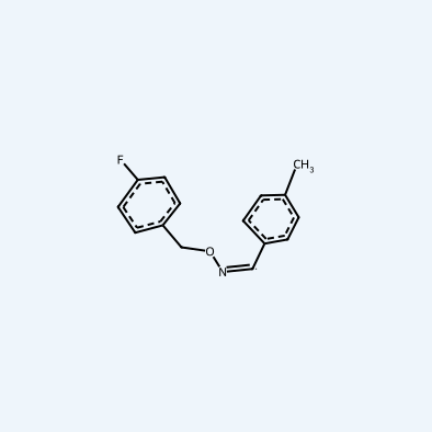 Cc1ccc(/[C]=N\OCc2ccc(F)cc2)cc1